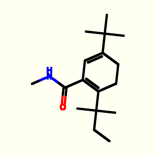 CCC(C)(C)C1=C(C(=O)NC)C=C(C(C)(C)C)CC1